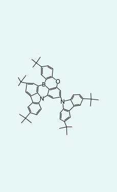 CC(C)(C)c1ccc2c(c1)B1c3c(cc(-n4c5ccc(C(C)(C)C)cc5c5cc(C(C)(C)C)ccc54)cc3-n3c4ccc(C(C)(C)C)cc4c4cc(C(C)(C)C)cc1c43)O2